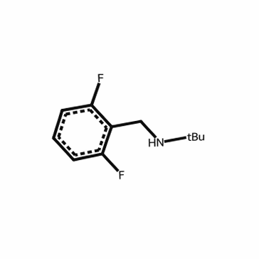 CC(C)(C)NCc1c(F)cccc1F